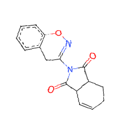 O=C1C2C=CCCC2C(=O)N1C1=NOc2ccccc2C1